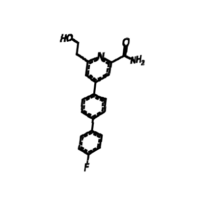 NC(=O)c1cc(-c2ccc(-c3ccc(F)cc3)cc2)cc(CCO)n1